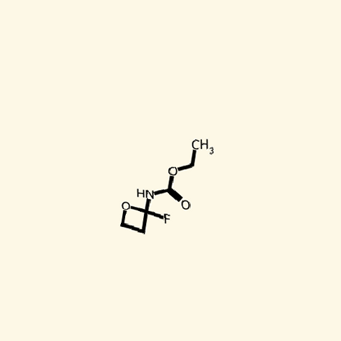 CCOC(=O)NC1(F)CCO1